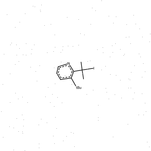 CC(C)(C)c1cccnc1C(C)(C)I